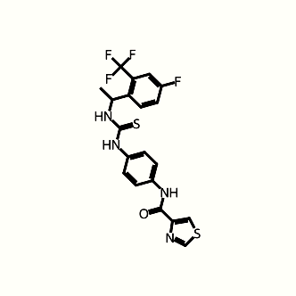 CC(NC(=S)Nc1ccc(NC(=O)c2cscn2)cc1)c1ccc(F)cc1C(F)(F)F